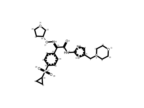 O=C(Nc1ncc(CN2CCOCC2)s1)/C(=N/O[C@@H]1CCOC1)c1ccc(S(=O)(=O)C2CC2)cc1